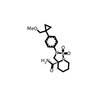 COCC1(c2ccc(N3C[C@@]4(C(N)=O)[CH]CCCN4S3(=O)=O)cc2)CC1